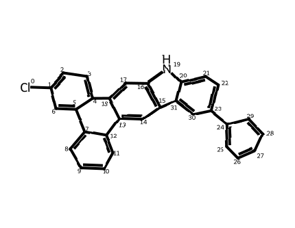 Clc1ccc2c(c1)c1ccccc1c1cc3c(cc21)[nH]c1ccc(-c2ccccc2)cc13